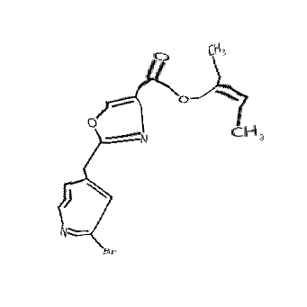 C/C=C(/C)OC(=O)c1coc(-c2ccnc(Br)c2)n1